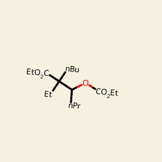 CCCCC(CC)(C(=O)OCC)C(CCC)OC(=O)OCC